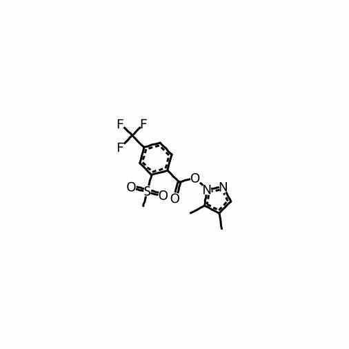 Cc1cnn(OC(=O)c2ccc(C(F)(F)F)cc2S(C)(=O)=O)c1C